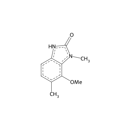 COc1c(C)ccc2[nH]c(=O)n(C)c12